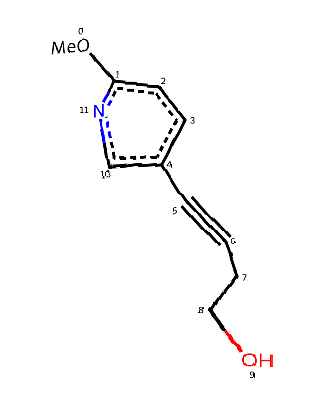 COc1ccc(C#CCCO)cn1